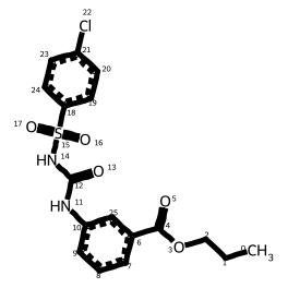 CCCOC(=O)c1cccc(NC(=O)NS(=O)(=O)c2ccc(Cl)cc2)c1